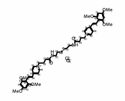 COc1cc(OC)c(C=Cc2cc[n+](CCCC(=O)NCCSSCCNC(=O)CCC[n+]3ccc(C=Cc4c(OC)cc(OC)cc4OC)cc3)cc2)c(OC)c1.[Cl-].[Cl-]